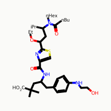 CCCCCCN(C(=O)CCCC)C(CC(OCC)c1nc(C(=O)NC(Cc2ccc(NCCO)cc2)CC(C)(C)C(=O)O)cs1)C(C)C